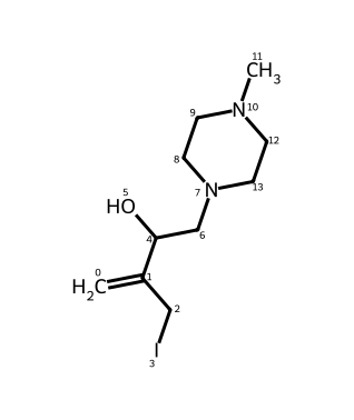 C=C(CI)C(O)CN1CCN(C)CC1